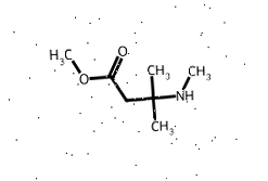 CNC(C)(C)CC(=O)OC